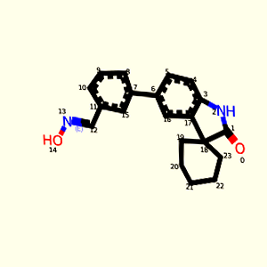 O=C1Nc2ccc(-c3cccc(/C=N/O)c3)cc2C12CCCCC2